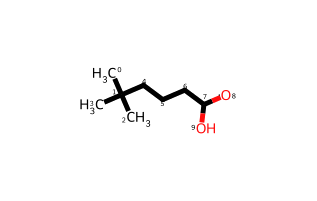 CC(C)(C)CCCC([O])O